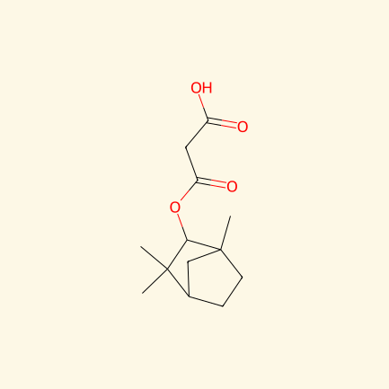 CC12CCC(C1)C(C)(C)C2OC(=O)CC(=O)O